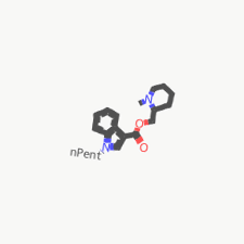 CCCCCn1cc(C(=O)OCC2CCCCN2C)c2ccccc21